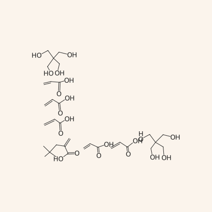 C=C(CC(C)(C)C)C(=O)O.C=CC(=O)O.C=CC(=O)O.C=CC(=O)O.C=CC(=O)O.C=CC(=O)O.OCC(CO)(CO)CO.OCC(CO)(CO)CO